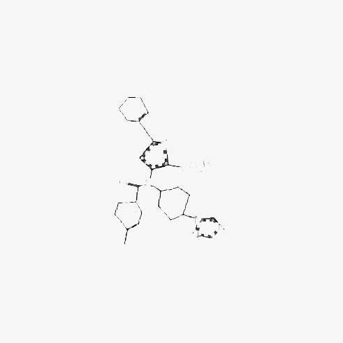 CC1CCC(C(=O)N(c2cc(C3=CCCCC3)sc2C(=O)O)C2CCC(n3cncn3)CC2)CC1